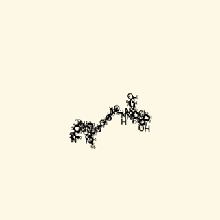 CC(=O)N1CCN(c2nc(NCCC(=O)N(C)CCOCCOCCOCCC(C(=O)N3CCC[C@H]3C(=O)N[C@@H](C)c3ccc(-c4scnc4C)cc3)c3cc(C)no3)nc3c(F)c(-c4cc(O)cc5ccccc45)c(Cl)cc23)CC1